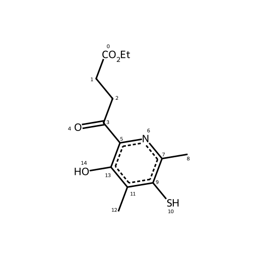 CCOC(=O)CCC(=O)c1nc(C)c(S)c(C)c1O